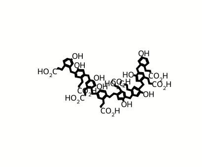 O=C(O)CCc1cc(Cc2cc(O)c(Cc3cc(O)c(Cc4cc(O)ccc4CCC(=O)O)cc3CCC(=O)O)cc2CCC(=O)O)c(O)cc1CCc1cc(O)c(Cc2cc(O)c(Cc3cc(O)c(Cc4cc(O)ccc4CCC(=O)O)cc3CCC(=O)O)cc2CCC(=O)O)cc1CCC(=O)O